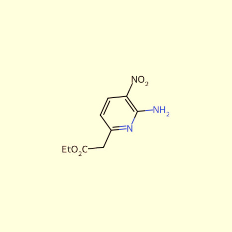 CCOC(=O)Cc1ccc([N+](=O)[O-])c(N)n1